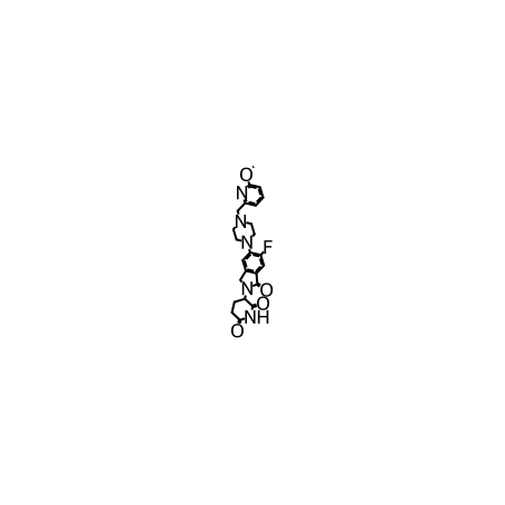 COc1cccc(CN2CCN(c3cc4c(cc3F)C(=O)N(C3CCC(=O)NC3=O)C4)CC2)n1